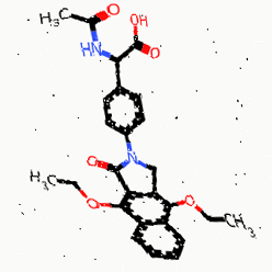 CCOc1c2c(c(OCC)c3ccccc13)C(=O)N(c1ccc(C(NC(C)=O)C(=O)O)cc1)C2